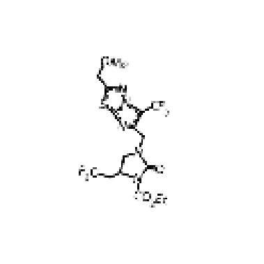 CCOC(=O)N1C(=O)N(Cc2nc3sc(COC)nn3c2C(F)(F)F)CC1CC(F)(F)F